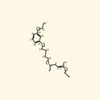 CCO/C(C)=C/CC(C)OCCCCOc1cccc(OCC)c1